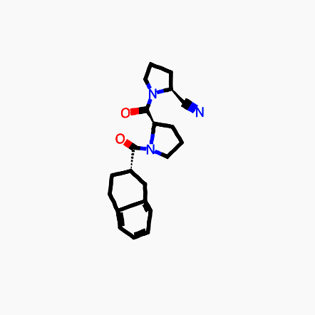 N#C[C@@H]1CCCN1C(=O)[C@H]1CCCN1C(=O)[C@H]1CCc2ccccc2C1